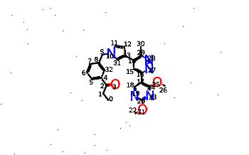 CCC(=O)c1cccc(Cn2ccc(-c3cc(-c4cnc(OC)nc4OC)nnc3C)c2)c1